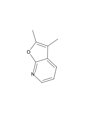 Cc1oc2ncccc2c1C